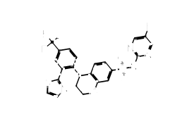 O=S(=O)(Nc1ncc(F)cn1)c1ccc2c(c1)OCCC2c1ccc(C(F)(F)F)cc1-c1nccs1